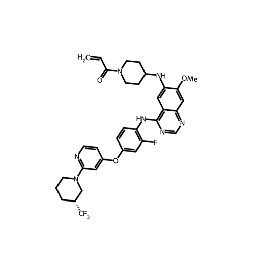 C=CC(=O)N1CCC(Nc2cc3c(Nc4ccc(Oc5ccnc(N6CCC[C@@H](C(F)(F)F)C6)c5)cc4F)ncnc3cc2OC)CC1